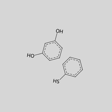 Oc1cccc(O)c1.Sc1ccccc1